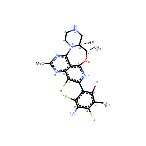 COc1nc2c3c(nc(-c4c(F)c(N)c(F)c(C)c4I)c(F)c3n1)O[C@@H](C)[C@@H]1CNCCN21